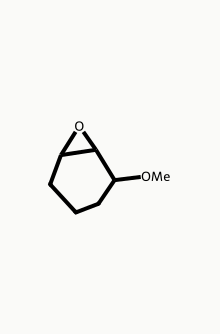 COC1CCCC2OC12